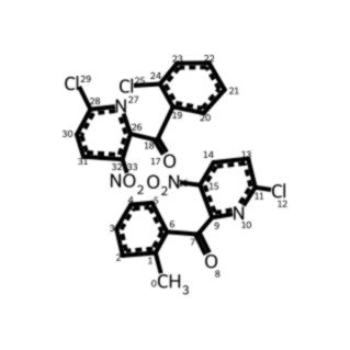 Cc1ccccc1C(=O)c1nc(Cl)ccc1[N+](=O)[O-].O=C(c1ccccc1Cl)c1nc(Cl)ccc1[N+](=O)[O-]